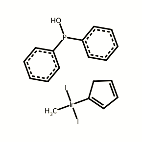 OP(c1ccccc1)c1ccccc1.[CH3][Ir]([I])([I])[C]1=CC=CC1